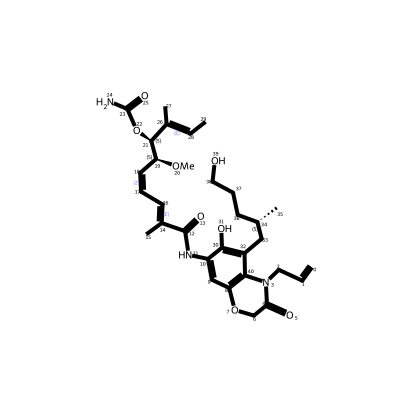 C=CCN1C(=O)COc2cc(NC(=O)/C(C)=C/C=C\[C@H](OC)[C@@H](OC(N)=O)/C(C)=C/C)c(O)c(C[C@@H](C)CCCO)c21